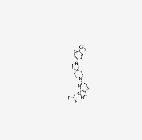 FC(F)Cn1ncc2ncc(N3CCC4(CCN(c5ccc(C(F)(F)F)nc5)C4)CC3)nc21